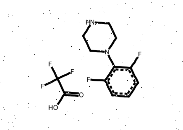 Fc1cccc(F)c1N1CCNCC1.O=C(O)C(F)(F)F